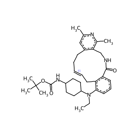 CCN(c1cccc2c1C/C=C/CCc1cc(C)nc(C)c1CNC2=O)C1CCC(NC(=O)OC(C)(C)C)CC1